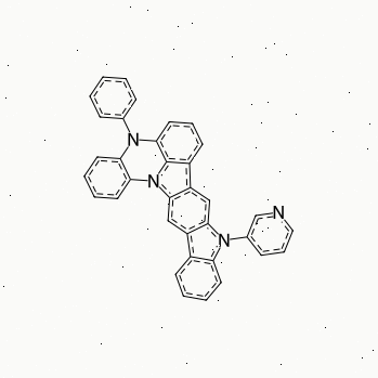 c1ccc(N2c3ccccc3-n3c4cc5c6ccccc6n(-c6cccnc6)c5cc4c4cccc2c43)cc1